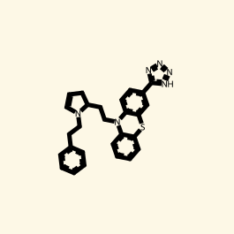 C1=CN(CCc2ccccc2)C(CCN2c3ccccc3Sc3cc(-c4nnn[nH]4)ccc32)C1